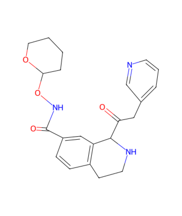 O=C(NOC1CCCCO1)c1ccc2c(c1)C(C(=O)Cc1cccnc1)NCC2